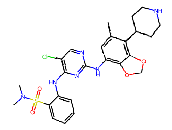 Cc1cc(Nc2ncc(Cl)c(Nc3ccccc3S(=O)(=O)N(C)C)n2)c2c(c1C1CCNCC1)OCO2